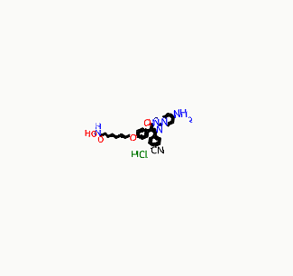 Cl.Cn1c(N2CCC(N)CC2)nc(-c2ccc(C#N)cc2)c(-c2ccc(OCCCCCCCC(=O)NO)cc2)c1=O